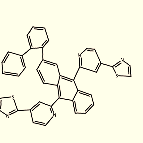 c1ccc(-c2ccccc2-c2ccc3c(-c4cc(-c5nccs5)ccn4)c4ccccc4c(-c4cc(-c5nccs5)ccn4)c3c2)cc1